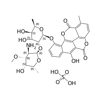 CO[C@@H]1[C@@H](N)[C@@H](O[C@H]2[C@H](Oc3cccc4c(O)c5c(=O)oc6ccc(C)c7c(=O)oc(c34)c5c67)O[C@H](C)[C@H](O)[C@]2(C)O)O[C@H](C)[C@@H]1O.O=S(=O)(O)O